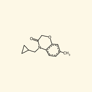 Cc1ccc2c(c1)OCC(=O)N2CC1CC1